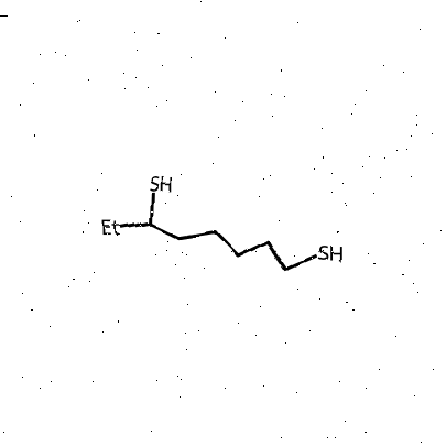 CCC(S)CCCCCS